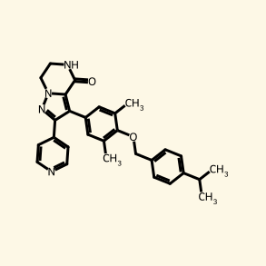 Cc1cc(-c2c(-c3ccncc3)nn3c2C(=O)NCC3)cc(C)c1OCc1ccc(C(C)C)cc1